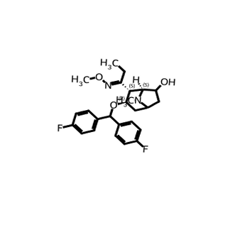 CCC(=NOC)[C@@H]1[C@H]2C(O)CC(C[C@H]1OC(c1ccc(F)cc1)c1ccc(F)cc1)N2C